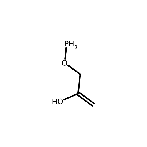 C=C(O)COP